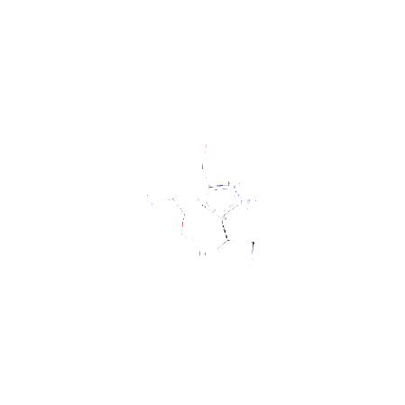 NCC(O)c1[nH]nc(CO)c1C(O)CN